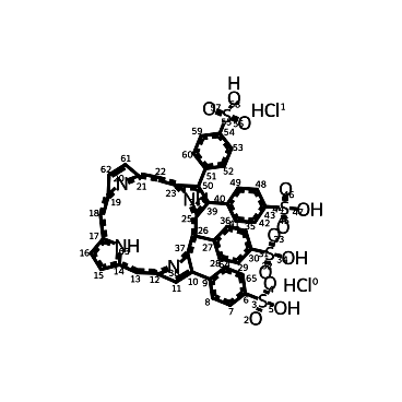 Cl.Cl.O=S(=O)(O)c1ccc(C2=Cc3cc4ccc(cc5nc(cc6[nH]c(c(-c7ccc(S(=O)(=O)O)cc7)c2n3)c(-c2ccc(S(=O)(=O)O)cc2)c6-c2ccc(S(=O)(=O)O)cc2)C=C5)[nH]4)cc1